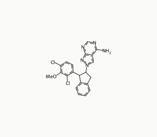 COc1c(Cl)ccc(C2c3ccccc3CC2n2cc3c(N)ncnc3n2)c1Cl